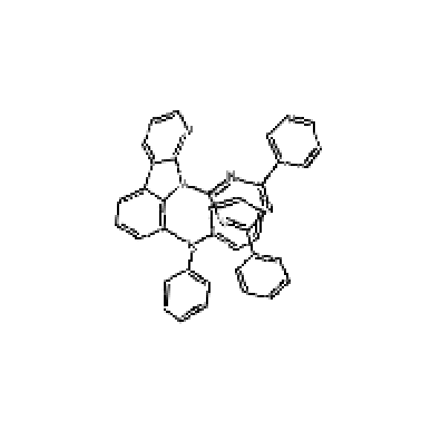 c1ccc(-c2nc(-c3ccccc3)nc(-n3c4ncccc4c4cccc(N(c5ccccc5)c5ccccc5)c43)n2)cc1